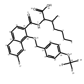 CCCCC(C)C(NC(=O)c1ccc2ccc(F)cc2c1OCc1ccc(OC(F)(F)F)cc1)C(=O)O